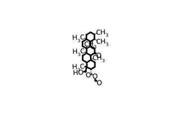 C[C@@H]1C2C3=CC(=O)C4[C@@]5(C)CC[C@H](COC=O)C(C)(C(=O)O)C5CC[C@@]4(C)[C@@]3(C)CC[C@@]2(C)CC[C@@H]1C